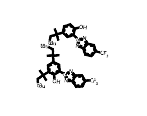 CC(C)(C)CC(C)(C)c1cc(-n2nc3ccc(C(F)(F)F)cc3n2)c(O)c(C(C)(C)CC(C)(C)C)c1.CC(C)(C)CC(C)(C)c1ccc(O)c(-n2nc3ccc(C(F)(F)F)cc3n2)c1